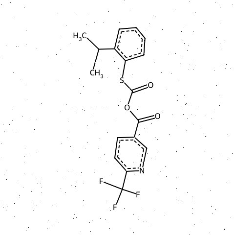 CC(C)c1ccccc1SC(=O)OC(=O)c1ccc(C(F)(F)F)nc1